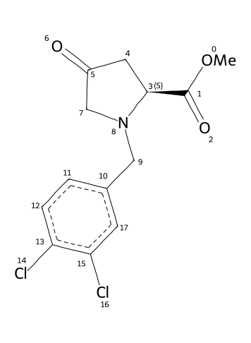 COC(=O)[C@@H]1CC(=O)CN1Cc1ccc(Cl)c(Cl)c1